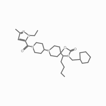 CCCCC1N(CC2CCCCC2)C(=O)OC12CCN(C1CCN(C(=O)c3cc(C)nn3CC)CC1)CC2